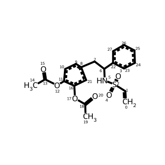 C=CS(=O)(=O)NC(Cc1ccc(OC(C)=O)c(OC(C)=O)c1)c1ccccc1